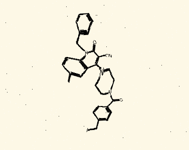 Cc1ccc2c(c1)c(N1CCN(C(=O)c3ccc(CI)cc3)CC1)c(C#N)c(=O)n2Cc1ccccc1